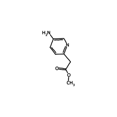 COC(=O)Cc1ccc(N)cn1